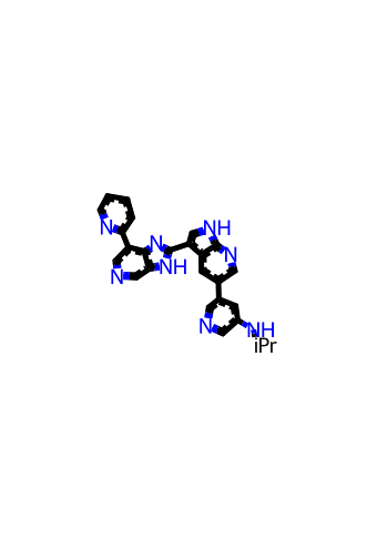 CC(C)Nc1cncc(-c2cnc3[nH]cc(-c4nc5c(-c6ccccn6)cncc5[nH]4)c3c2)c1